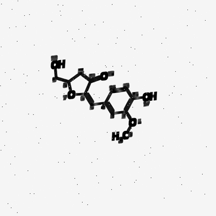 COc1cc(C=C2OC(CO)CC2=O)ccc1O